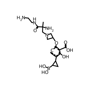 CC(N)(CN1CC(Oc2ccc(C3CC3B(O)O)c(O)c2C(=O)O)C1)C(=O)NCCN